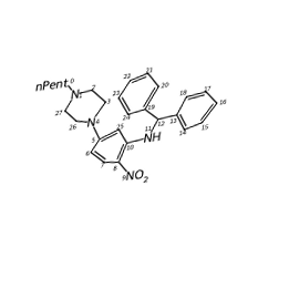 CCCCCN1CCN(c2ccc([N+](=O)[O-])c(NC(c3ccccc3)c3ccccc3)c2)CC1